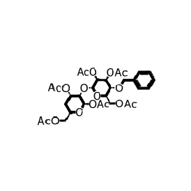 CC(=O)OC[C@H]1C[C@H](OC(C)=O)[C@H](O[C@H]2O[C@H](COC(C)=O)[C@@H](OCc3ccccc3)[C@H](OC(C)=O)[C@@H]2OC(C)=O)[C@@H](OC(C)=O)O1